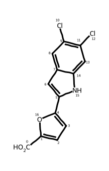 O=C(O)c1ccc(-c2cc3cc(Cl)c(Cl)cc3[nH]2)o1